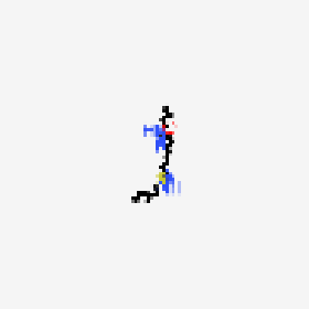 C=C/C=C\C(=C)CC(=C)Nc1nnc(CCCCc2ccc(NC(=O)C/C(C)=C/C)nn2)s1